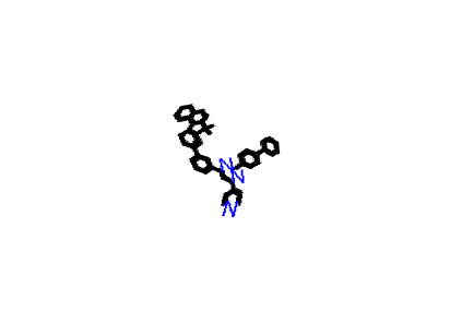 CC1(C)c2cc(-c3cccc(-c4cc(-c5ccncc5)nc(-c5ccc(-c6ccccc6)cc5)n4)c3)ccc2-c2c1ccc1ccccc21